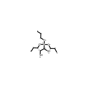 CCCO[Si](OCCC)(OCCC)C(S)CS